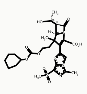 Cc1nc(S(C)(=O)=O)c2sc(C3=C(C(=O)O)N4C(=O)[C@H]([C@@H](C)O)[C@@H]4C3(C)CCOC(=O)OC3CCCCC3)cn12